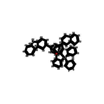 c1ccc([Si](c2ccccc2)(c2ccccc2)c2ccccc2-c2nc(-c3ccc4ccccc4c3)nc(-c3ccc4sc5ccccc5c4c3)n2)cc1